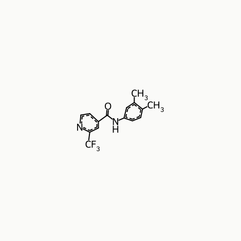 Cc1ccc(NC(=O)c2ccnc(C(F)(F)F)c2)cc1C